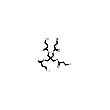 C=C(CCS)OCC(COC(=O)CCS)(COC(=O)CCS)COC(=O)CCS